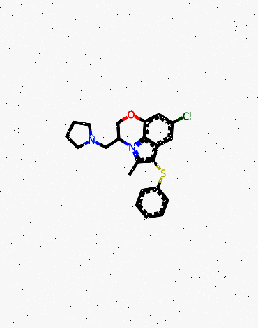 Cc1c(Sc2ccccc2)c2cc(Cl)cc3c2n1C(CN1CCCC1)CO3